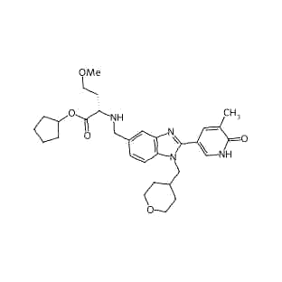 COCC[C@H](NCc1ccc2c(c1)nc(-c1c[nH]c(=O)c(C)c1)n2CC1CCOCC1)C(=O)OC1CCCC1